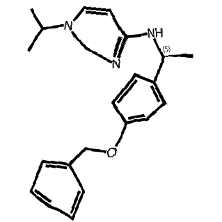 CC(C)N1C=CC(N[C@@H](C)c2ccc(OCc3ccccc3)cc2)=NC1